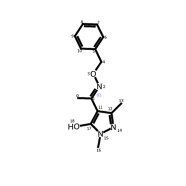 C/C(=N\OCc1ccccc1)c1c(C)nn(C)c1O